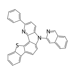 c1ccc(-c2ccc3c(n2)c2c4sc5ccccc5c4ccc2n3-c2cc3ccccc3cn2)cc1